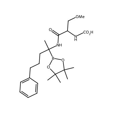 COCC(NC(=O)O)C(=O)NC(C)(CCCc1ccccc1)B1OC(C)(C)C(C)(C)O1